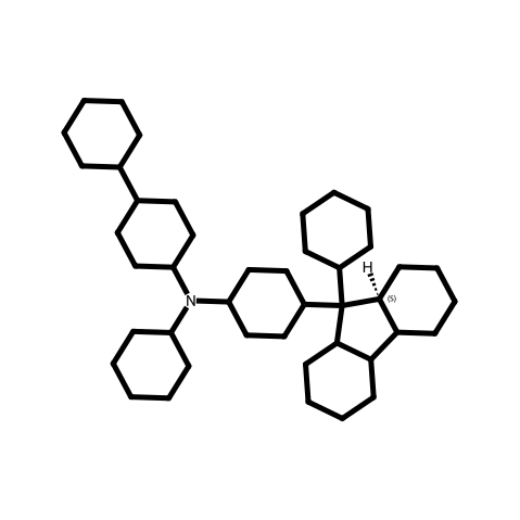 C1CCC(C2CCC(N(C3CCCCC3)C3CCC(C4(C5CCCCC5)C5CCCCC5C5CCCC[C@@H]54)CC3)CC2)CC1